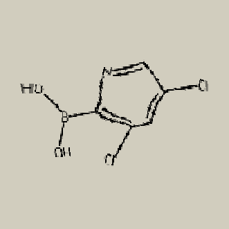 OB(O)c1ncc(Cl)cc1Cl